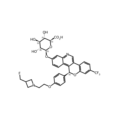 O=C(O)[C@H]1O[C@@H](Oc2ccc3c4c(cnc3c2)-c2ccc(C(F)(F)F)cc2O[C@H]4c2ccc(OCCN3CC(CF)C3)cc2)[C@H](O)[C@@H](O)[C@@H]1O